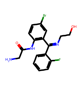 NCC(=O)Nc1ccc(Br)cc1/C(=N\CCO)c1ccccc1F